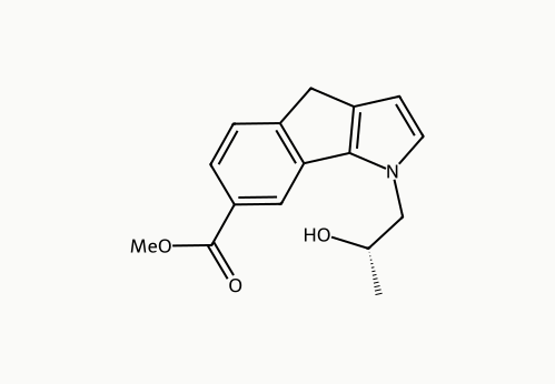 COC(=O)c1ccc2c(c1)-c1c(ccn1C[C@H](C)O)C2